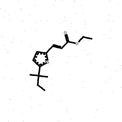 CCOC(=O)C=Cc1ccc(C(C)(C)CC)s1